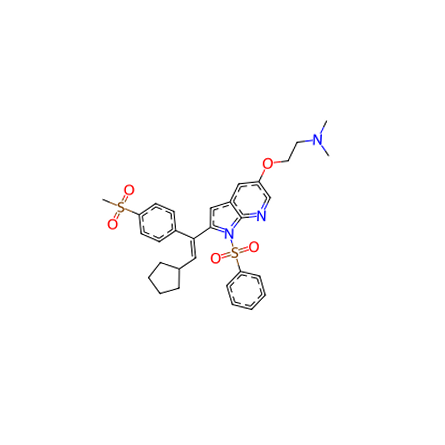 CN(C)CCOc1cnc2c(c1)cc(C(=CC1CCCC1)c1ccc(S(C)(=O)=O)cc1)n2S(=O)(=O)c1ccccc1